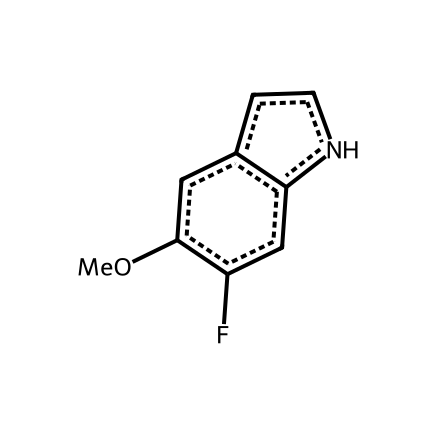 COc1cc2cc[nH]c2cc1F